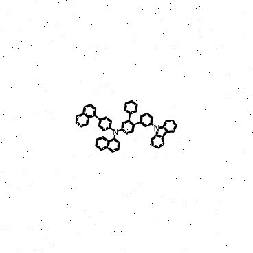 c1ccc(-c2cc(N(c3ccc(-c4cccc5ccccc45)cc3)c3cccc4ccccc34)ccc2-c2cccc(-n3c4ccccc4c4ccccc43)c2)cc1